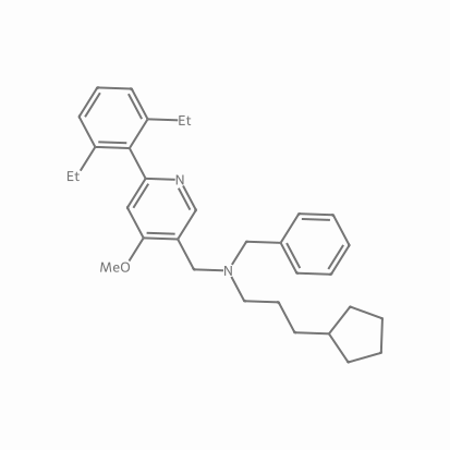 CCc1cccc(CC)c1-c1cc(OC)c(CN(CCCC2CCCC2)Cc2ccccc2)cn1